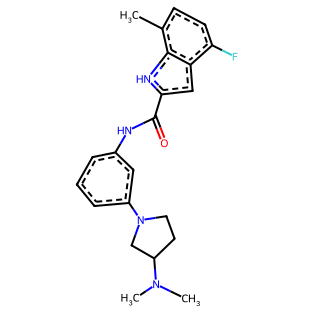 Cc1ccc(F)c2cc(C(=O)Nc3cccc(N4CCC(N(C)C)C4)c3)[nH]c12